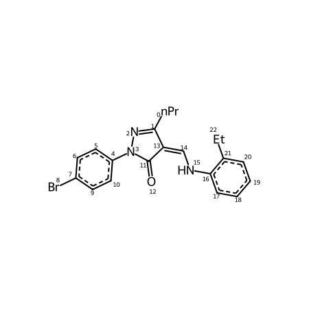 CCCC1=NN(c2ccc(Br)cc2)C(=O)C1=CNc1ccccc1CC